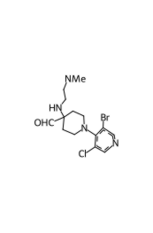 CNCCNC1(C=O)CCN(c2c(Cl)cncc2Br)CC1